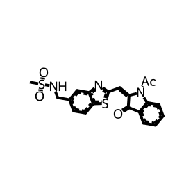 CC(=O)N1/C(=C/c2nc3cc(CNS(C)(=O)=O)ccc3s2)C(=O)c2ccccc21